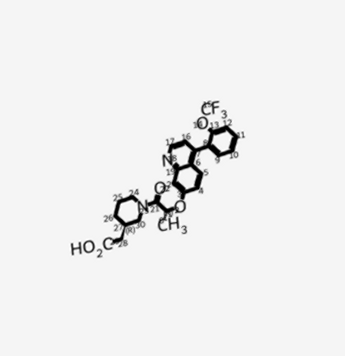 C[C@@H](Oc1ccc2c(-c3ccccc3OC(F)(F)F)ccnc2c1)C(=O)N1CCC[C@H](CC(=O)O)C1